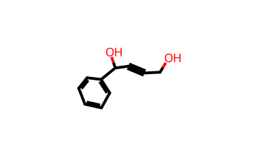 OCC#CC(O)c1ccccc1